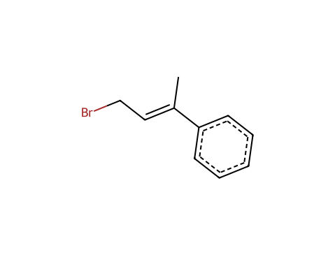 CC(=CCBr)c1ccccc1